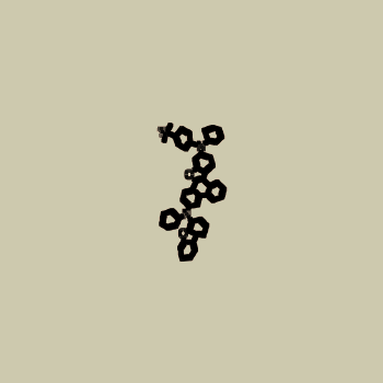 C[Si](C)(C)c1ccc(N(c2ccccc2)c2ccc3c(c2)oc2c4ccc(N(c5ccccc5)c5cccc6c5oc5ccccc56)cc4c4ccccc4c32)cc1